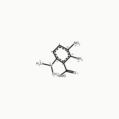 COC(=O)c1c(N(C)C)ccc([N+](=O)[O-])c1N